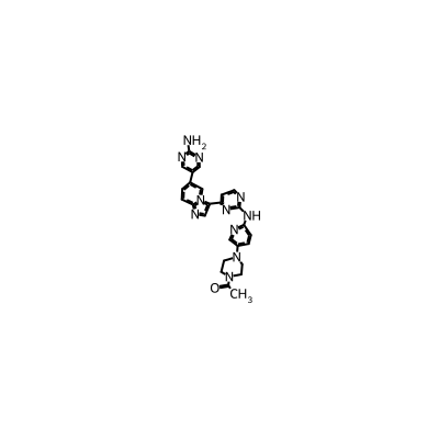 CC(=O)N1CCN(c2ccc(Nc3nccc(-c4cnc5ccc(-c6cnc(N)nc6)cn45)n3)nc2)CC1